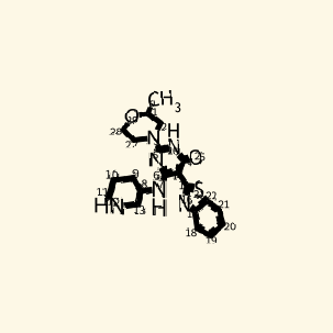 CC1CN(c2nc(NC3CCCNC3)c(-c3nc4ccccc4s3)c(=O)[nH]2)CCO1